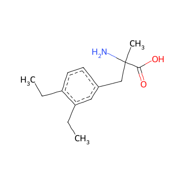 CCc1ccc(CC(C)(N)C(=O)O)cc1CC